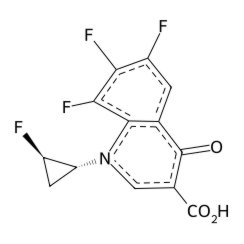 O=C(O)c1cn([C@@H]2C[C@H]2F)c2c(F)c(F)c(F)cc2c1=O